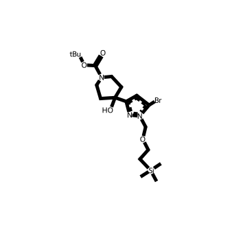 CC(C)(C)OC(=O)N1CCC(O)(c2cc(Br)n(COCC[Si](C)(C)C)n2)CC1